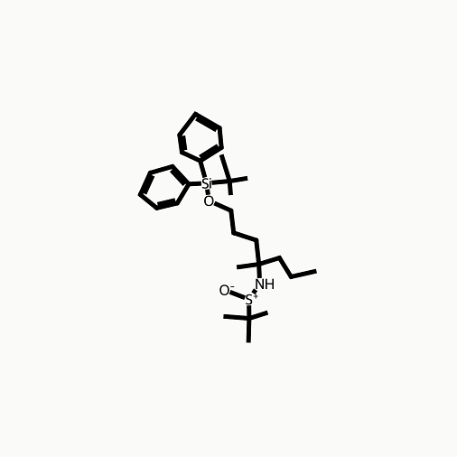 CCCC(C)(CCCO[Si](c1ccccc1)(c1ccccc1)C(C)(C)C)N[S+]([O-])C(C)(C)C